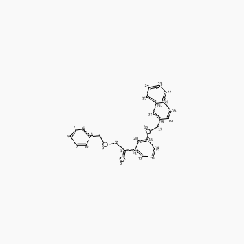 O=C(COCc1ccccc1)c1cccc(OCc2ccc3ccccc3c2)c1